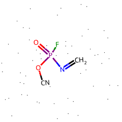 C=NP(=O)(F)OC#N